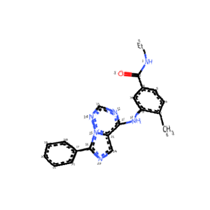 CCNC(=O)c1ccc(C)c(Nc2ncnn3c(-c4ccccc4)ncc23)c1